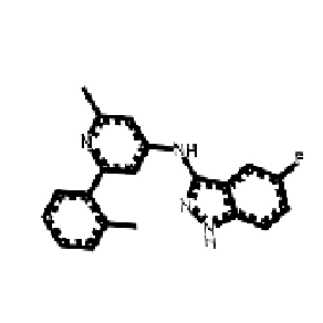 Cc1cc(Nc2n[nH]c3ccc(F)cc23)cc(-c2ccccc2C)n1